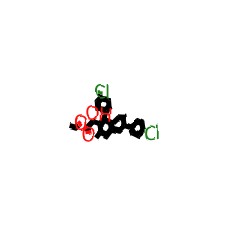 CCOC(=O)C(O)c1c(C)cc2cc(-c3ccc(Cl)cc3)ccc2c1-c1ccc(Cl)cc1